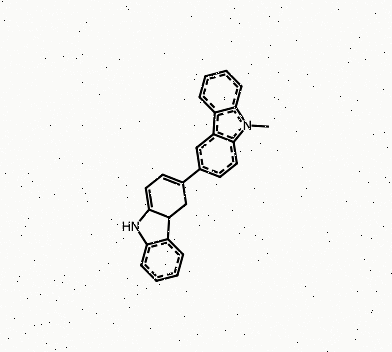 Cn1c2ccccc2c2cc(C3=CC=C4Nc5ccccc5C4C3)ccc21